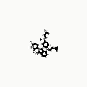 O=C1CCC(N2Cc3c(cccc3N(CCC3CC3)C3CCC(NCCC(F)F)CC3)C2=O)C(=O)N1